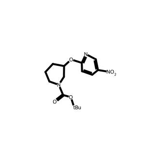 CC(C)(C)OC(=O)N1CCCC(Oc2ccc([N+](=O)[O-])cn2)C1